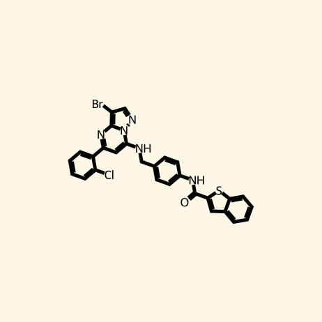 O=C(Nc1ccc(CNc2cc(-c3ccccc3Cl)nc3c(Br)cnn23)cc1)c1cc2ccccc2s1